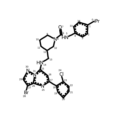 CC(C)c1ccc(NC(=O)N2CCCC(CNc3cc(-c4ccccc4Cl)nc4c(Br)cnn34)C2)cc1